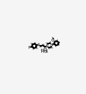 COc1ccccc1N1CCN(CCCSc2ccc(F)cc2)CC1.Cl.Cl